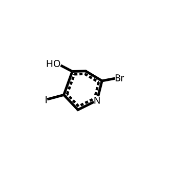 Oc1cc(Br)ncc1I